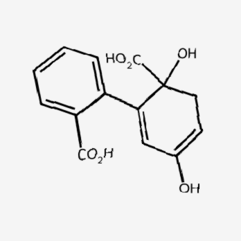 O=C(O)c1ccccc1C1=CC(O)=CCC1(O)C(=O)O